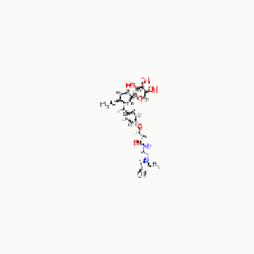 C#CCN(C)CCNC(=O)CCOc1ccc(Cc2cc([C@@H]3OC[C@@H](O)[C@H](O)[C@H]3O)ccc2C)cc1